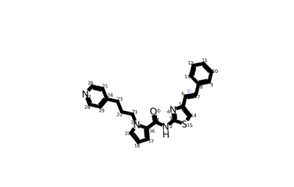 O=C(Nc1nc(/C=C/c2ccccc2)cs1)c1cccn1CCCc1ccncc1